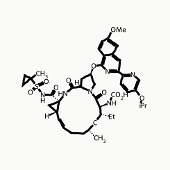 CC[C@@H]1C[C@H](C)CC/C=C\[C@@H]2C[C@@]2(C(=O)NS(=O)(=O)C2(C)CC2)NC(=O)[C@@H]2C[C@@H](Oc3nc(-c4ccc(OC(C)C)cn4)cc4cc(OC)ccc34)CN2C(=O)[C@H]1NC(=O)O